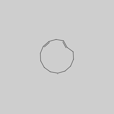 [CH]1CCCC/C=C\C/C=C/CCCC1